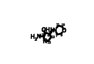 NC1=C(O)C(=CN2CCOCC2)CC=N1